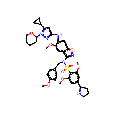 COc1ccc(CN(c2noc3cc(Nc4cc(C5CC5)n(C5CCCCO5)n4)c(OC)cc23)S(=O)(=O)c2c(OC)cc(C3CCCN3)cc2OC)cc1